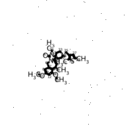 CCN1C(=O)N2Cc3cc(OC)cc(OC)c3[C@@H](C)C=C2C12CCN(Cc1cc(C)sc1C)CC2